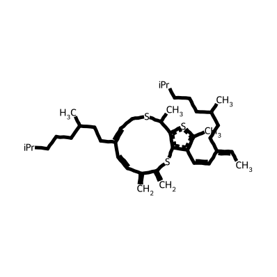 C=C1/C=C\C(CCC(C)CCCC(C)C)=C/CSC(C)c2sc(C)c(/C=C\C(=C/C)CCC(C)CCCC(C)C)c2SC1=C